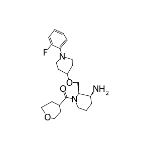 N[C@H]1CCCN(C(=O)C2CCOCC2)[C@H]1COC1CCN(c2ccccc2F)CC1